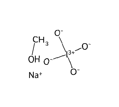 CO.[Na+].[O-][I+3]([O-])([O-])[O-]